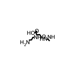 CC(=N)NOCCC(NCCCN)C(=O)O